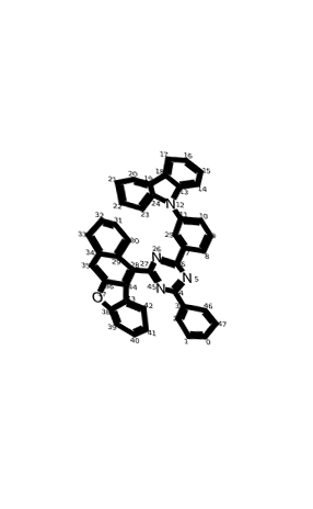 c1ccc(-c2nc(-c3cccc(-n4c5ccccc5c5ccccc54)c3)nc(-c3c4ccccc4cc4oc5ccccc5c34)n2)cc1